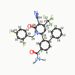 CN(C)C(=O)c1ccc(-c2ccccc2)c(-c2cc(C(F)(F)F)c(C#N)c(=O)n2Cc2ccc(F)cc2F)c1